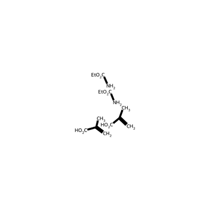 C=C(C)C(=O)O.C=C(C)C(=O)O.CCOC(N)=O.CCOC(N)=O